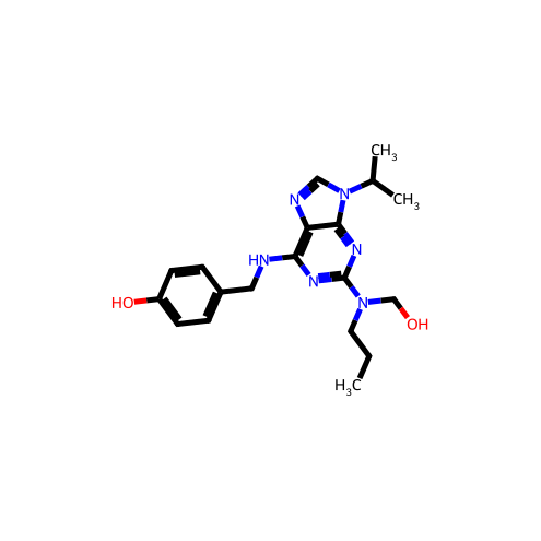 CCCN(CO)c1nc(NCc2ccc(O)cc2)c2ncn(C(C)C)c2n1